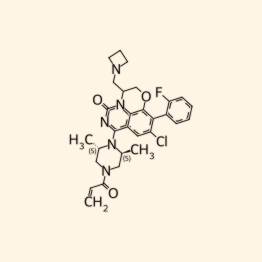 C=CC(=O)N1C[C@H](C)N(c2nc(=O)n3c4c(c(-c5ccccc5F)c(Cl)cc24)OCC3CN2CCC2)[C@@H](C)C1